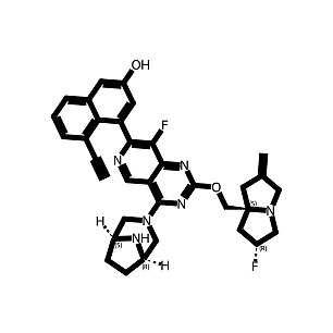 C#Cc1cccc2cc(O)cc(-c3ncc4c(N5C[C@H]6CC[C@@H](C5)N6)nc(OC[C@@]56CC(=C)CN5C[C@H](F)C6)nc4c3F)c12